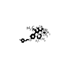 COc1nc(C)c([C@H](OC(C)(C)C)C(=O)O)c(N2CCC(C)(C)CC2)c1-c1ccc(OCCc2ccc(F)cc2)cc1